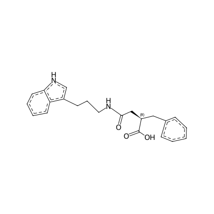 O=C(C[C@@H](Cc1ccccc1)C(=O)O)NCCCc1c[nH]c2ccccc12